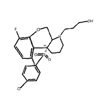 O=S(=O)(c1ccc(Cl)cc1)[C@@]12CCCN(CCCO)C1COc1c(F)ccc(F)c12